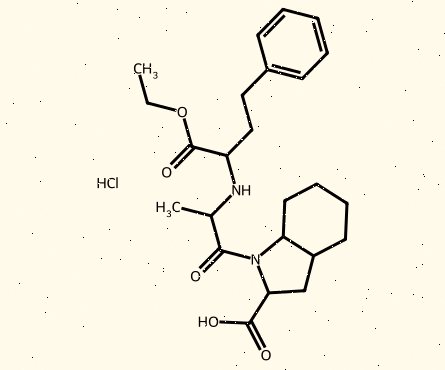 CCOC(=O)C(CCc1ccccc1)NC(C)C(=O)N1C(C(=O)O)CC2CCCCC21.Cl